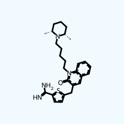 C[C@@H]1CCC[C@H](C)N1CCCCCn1c(=O)c(Cc2ccc(C(=N)N)s2)cc2ccccc21